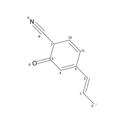 [CH2]C=CC1=CC(=O)C(C#N)C=C1